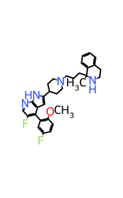 COc1ccc(F)cc1-c1c(F)cnc2[nH]c(C3CCN(CCCC4(C)NCCc5ccccc54)CC3)cc12